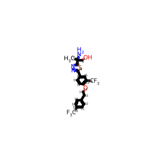 CC(N)(CO)c1nnc(-c2ccc(OCCc3ccc(C(F)(F)F)cc3)c(C(F)(F)F)c2)s1